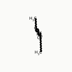 CCCCCCCCCCCCC(=O)Oc1cnc(-c2ccc(OCCCCCCCC)cc2)nc1